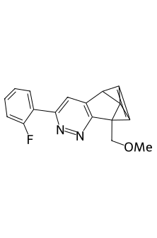 COCC12C3=C4C(c5cc(-c6ccccc6F)nnc51)C432